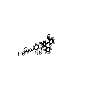 O=C(O)COC[C@H]1CC[C@@H](Cn2nc(-c3ccccc3CF)c(-c3ccccc3)c2CCO)CC1